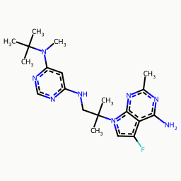 Cc1nc(N)c2c(F)cn(C(C)(C)CNc3cc(N(C)C(C)(C)C)ncn3)c2n1